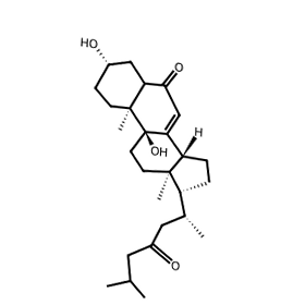 CC(C)CC(=O)C[C@@H](C)[C@H]1CC[C@H]2C3=CC(=O)C4C[C@@H](O)CC[C@]4(C)[C@@]3(O)CC[C@]12C